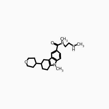 CNCCN(C)C(=O)c1ccc2c(c1)c1c(n2C)CCC(C2CCOCC2)C1